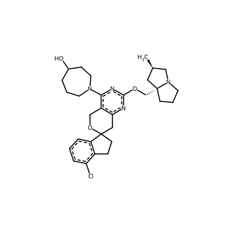 C[C@H]1CN2CCC[C@@]2(COc2nc3c(c(N4CCCC(O)CC4)n2)COC2(CCc4c(Cl)cccc42)C3)C1